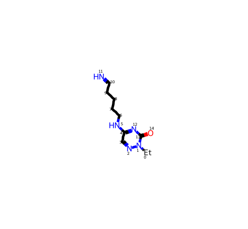 CCn1ncc(NCCCCC=N)nc1=O